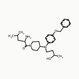 CC(C)CC(N)C(=O)N1CCC(N(CCC(C)O)c2ccc(OCc3ccccc3)cc2)CC1